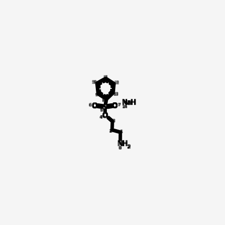 NCCCOS(=O)(=O)c1ccccc1.[NaH]